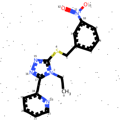 CCn1c(SCc2cccc([N+](=O)[O-])c2)nnc1-c1ccccn1